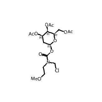 COCCN(CCl)C(=O)O[C@H]1C[C@@H](OC(C)=O)[C@@H](OC(C)=O)[C@@H](COC(C)=O)O1